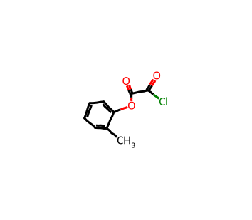 Cc1ccccc1OC(=O)C(=O)Cl